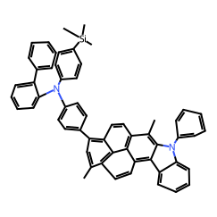 Cc1cc(-c2ccc(N(c3ccc([Si](C)(C)C)cc3)c3ccccc3-c3ccccc3)cc2)c2ccc3c(C)c4c(c5ccc1c2c35)c1ccccc1n4-c1ccccc1